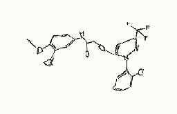 COc1ccc(NC(=O)COc2cc(C(F)(F)F)nn2-c2ccccc2Cl)cc1Cl